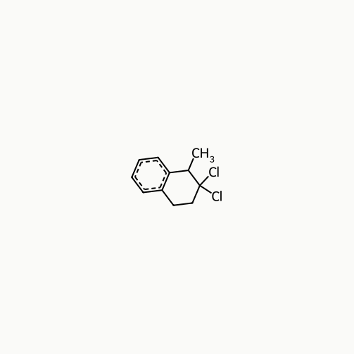 CC1c2ccccc2CCC1(Cl)Cl